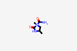 CC1C[N+](C)(C(N)=O)C(=O)N1